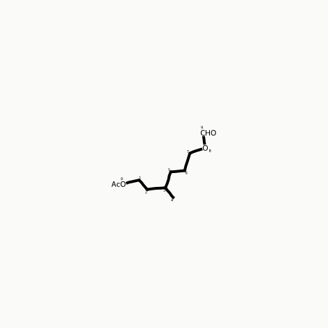 CC(=O)OCCC(C)CCCOC=O